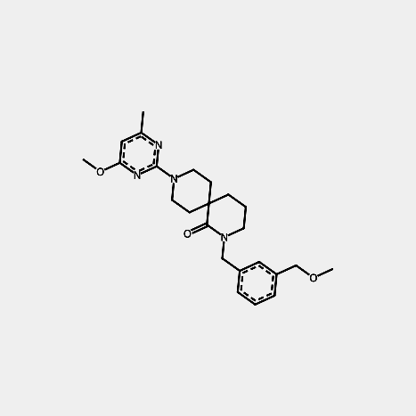 COCc1cccc(CN2CCCC3(CCN(c4nc(C)cc(OC)n4)CC3)C2=O)c1